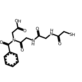 O=C(O)CN(C(=O)CNC(=O)CNC(=O)CS)C(=O)c1ccccc1